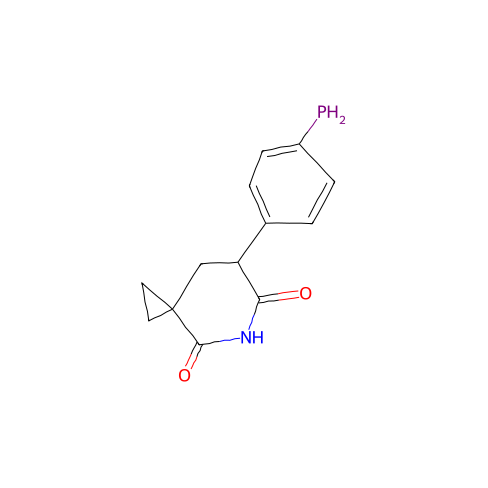 O=C1NC(=O)C2(CC2)CC1c1ccc(P)cc1